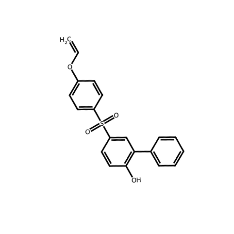 C=COc1ccc(S(=O)(=O)c2ccc(O)c(-c3ccccc3)c2)cc1